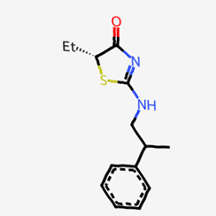 CC[C@H]1SC(NCC(C)c2ccccc2)=NC1=O